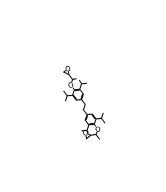 CC(C)c1cc(CCc2cc(C(C)C)c(OC(C)C3CO3)c(C(C)C)c2)cc(C(C)C)c1OC(C)C1CO1